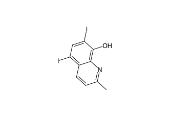 Cc1ccc2c(I)cc(I)c(O)c2n1